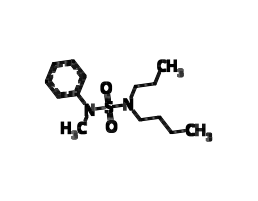 CCCCN(CCC)S(=O)(=O)N(C)c1ccccc1